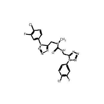 CN(Cc1nnnn1-c1ccc(Cl)c(F)c1)C(=O)NCc1nnnn1-c1ccc(Cl)c(F)c1